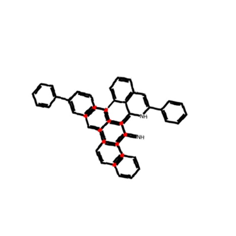 N=C(/C(=C1\NC(c2ccccc2)=Cc2cccc(N(c3ccc(-c4ccccc4)cc3)c3ccc(-c4ccccc4)cc3)c21)c1ccccc1)c1ccccc1